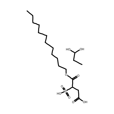 CCC(O)O.CCCCCCCCCCCCOC(=O)C(CC(=O)O)S(=O)(=O)O